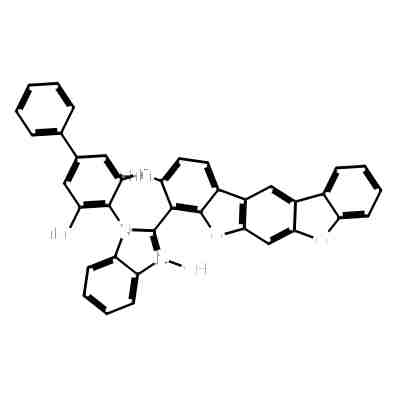 Cc1ccc2c(oc3cc4oc5ccccc5c4cc32)c1-c1n(-c2c(C(C)C)cc(-c3ccccc3)cc2C(C)C)c2ccccc2[n+]1C